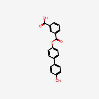 O=C(O)c1cccc(C(=O)Oc2ccc(-c3ccc(O)cc3)cc2)c1